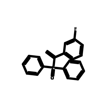 C=C(c1cccc(F)c1)P(=O)(c1ccccc1)c1ccccc1